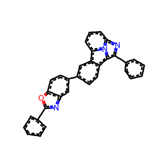 c1ccc(-c2nc3cc(-c4ccc5c(c4)c4cccc6nc(-c7ccccc7)c5n64)ccc3o2)cc1